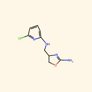 NC1=NC(CNc2cccc(Cl)n2)CO1